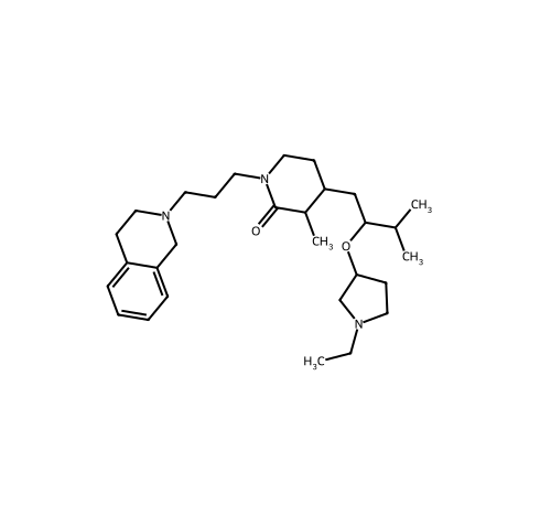 CCN1CCC(OC(CC2CCN(CCCN3CCc4ccccc4C3)C(=O)C2C)C(C)C)C1